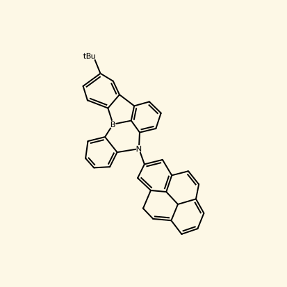 CC(C)(C)c1ccc2c(c1)-c1cccc3c1B2c1ccccc1N3c1cc2c3c(c1)CC=C1C=CC=C(C=C2)C13